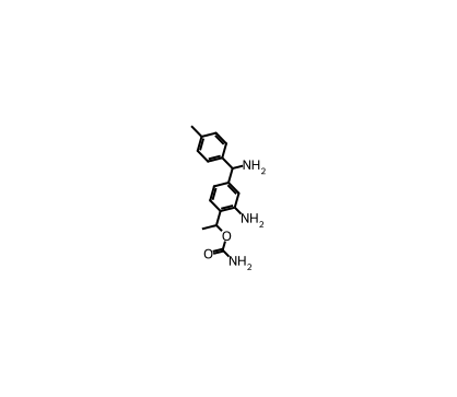 Cc1ccc(C(N)c2ccc(C(C)OC(N)=O)c(N)c2)cc1